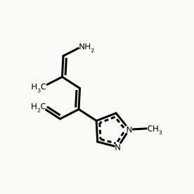 C=C/C(=C\C(C)=C/N)c1cnn(C)c1